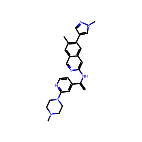 C=C(Nc1cc2cc(-c3cnn(C)c3)c(C)cc2cn1)c1ccnc(N2CCN(C)CC2)c1